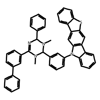 CN1C(c2cccc(-c3ccccc3)c2)=NC(c2ccccc2)N(C)C1c1cccc(-n2c3ccccc3c3cc4sc5ccccc5c4cc32)c1